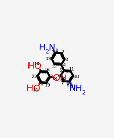 Nc1ccc(-c2ccc(N)cc2)cc1.Oc1cc(O)cc(O)c1